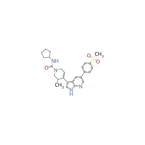 CC1CN(C(=O)NC2CCCC2)CC=C1c1c[nH]c2ncc(-c3ccc(S(C)(=O)=O)cc3)cc12